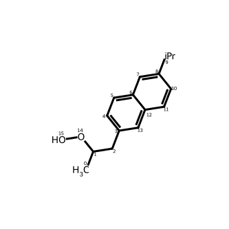 CC(Cc1ccc2cc(C(C)C)ccc2c1)OO